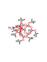 C[SiH](C)O[SiH]1O[Si]2(O[SiH](C)C)O[Si]3(O[SiH](C)C)O[Si](O[SiH3])(O[SiH](C)C)O[Si]4(O[SiH](C)C)O[Si](O[SiH](C)C)(O1)O[Si](O[SiH](C)C)(O2)O[Si](O[SiH](C)C)(O3)O4